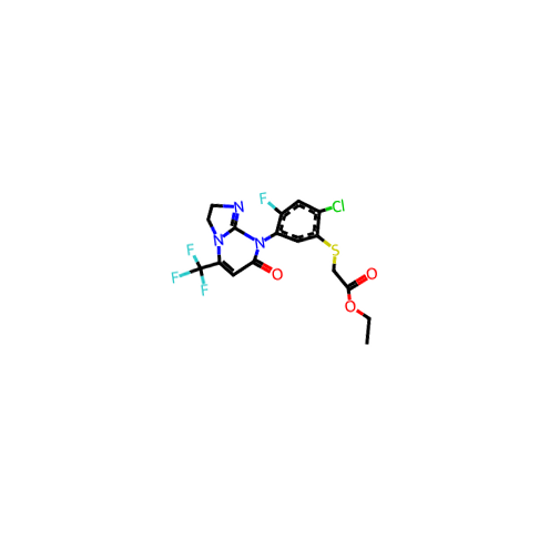 CCOC(=O)CSc1cc(N2C(=O)C=C(C(F)(F)F)N3CCN=C32)c(F)cc1Cl